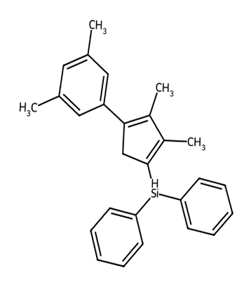 CC1=C(c2cc(C)cc(C)c2)CC([SiH](c2ccccc2)c2ccccc2)=C1C